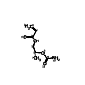 C=CC(=O)OC[C@@H](C)OC(N)=O